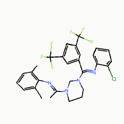 C/C(=N\c1c(C)cccc1C)N1CCCN(/C(=N/c2ccccc2Cl)c2cc(C(F)(F)F)cc(C(F)(F)F)c2)C1